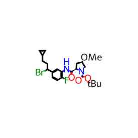 CO[C@@H]1C[C@H](C(=O)Nc2cc(C(Br)CCC3CC3)ccc2F)N(C(=O)OC(C)(C)C)C1